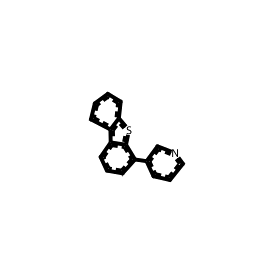 [c]1ccc2c(sc3ccccc32)c1-c1cccnc1